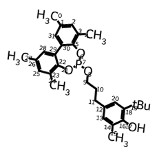 Cc1cc(C)c2op(OCCCc3cc(C)c(O)c(C(C)(C)C)c3)oc3c(C)cc(C)cc3c2c1